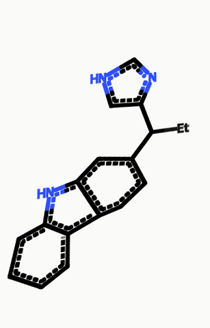 CCC(c1ccc2c(c1)[nH]c1ccccc12)c1c[nH]cn1